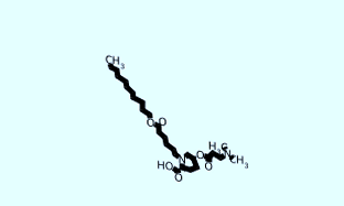 CCCCCCCCCCCOC(=O)CCCCCN1C[C@H](OC(=O)CCN(C)C)CC[C@H]1C(=O)O